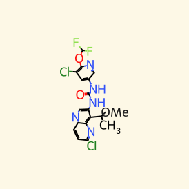 COC(C)c1c(NC(=O)Nc2cnc(OC(F)F)c(Cl)c2)cnc2ccc(Cl)nc12